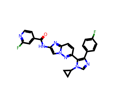 O=C(Nc1cn2nc(-c3c(-c4ccc(F)cc4)ncn3C3CC3)ccc2n1)c1ccnc(F)c1